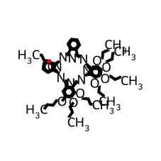 CCCCOc1cc2c(c(OCCCC)c1OCCCC)-c1nc-2nc2c3ccccc3c(nc3nc(nc4[nH]c(n1)c1c(OCCCC)c(OCCCC)c(OCCCC)c(OCCCC)c41)-c1ccccc1-3)n2OCCCC